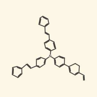 C=CC1=CC=C(c2ccc(N(c3ccc(/C=C/c4ccccc4)cc3)c3ccc(/C=C/c4ccccc4)cc3)cc2)CC1